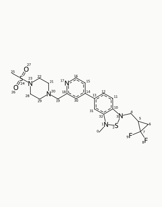 CN1SN(CC2CC2(F)F)c2ccc(-c3ccnc(CN4CCN(S(C)(=O)=O)CC4)c3)cc21